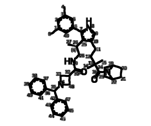 Cc1cc(C)cc(-c2[nH]cc(CCC(C)(C)C(=O)N3C4CCC3CC4)c2[C@H](C)CNC(=O)C2CN(C(c3ccccc3)c3ccccc3)C2)c1